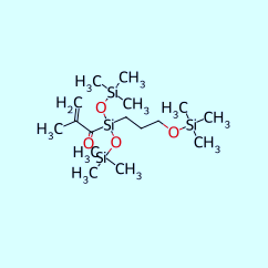 C=C(C)C(=O)[Si](CCCO[Si](C)(C)C)(O[Si](C)(C)C)O[Si](C)(C)C